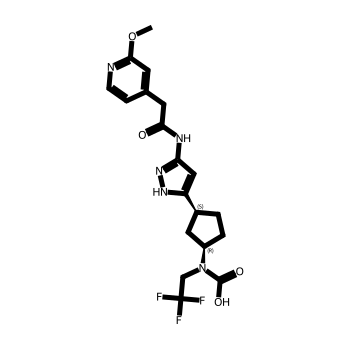 COc1cc(CC(=O)Nc2cc([C@H]3CC[C@@H](N(CC(F)(F)F)C(=O)O)C3)[nH]n2)ccn1